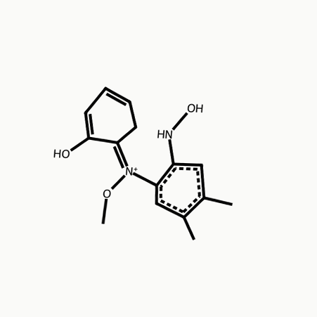 CO/[N+](=C1/CC=CC=C1O)c1cc(C)c(C)cc1NO